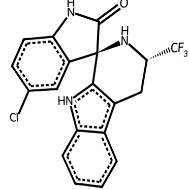 O=C1Nc2ccc(Cl)cc2[C@]12N[C@H](C(F)(F)F)Cc1c2[nH]c2ccccc12